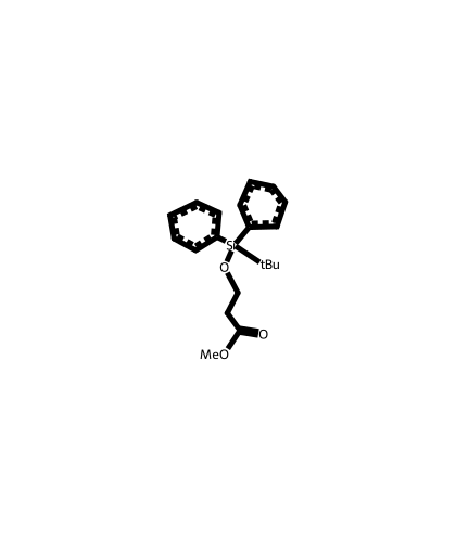 COC(=O)CCO[Si](c1ccccc1)(c1ccccc1)C(C)(C)C